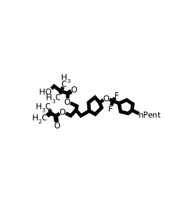 C=C(C)C(=O)OCC(COC(=O)C(C)(C)CO)CC1CCC(OC(F)(F)C2CCC(CCCCC)CC2)CC1